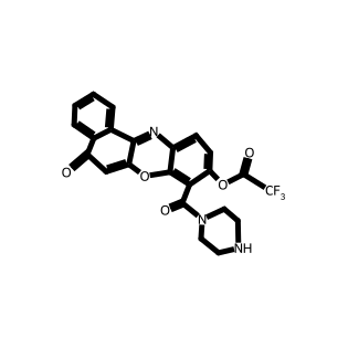 O=C(c1c(OC(=O)C(F)(F)F)ccc2nc3c4ccccc4c(=O)cc-3oc12)N1CCNCC1